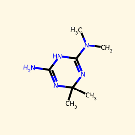 CN(C)C1=NC(C)(C)N=C(N)N1